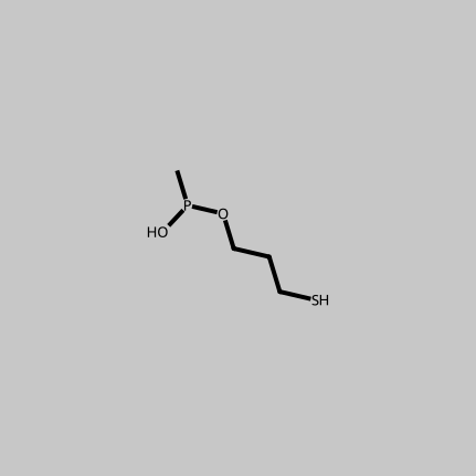 CP(O)OCCCS